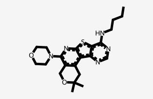 CCCCNc1ncnc2c1sc1nc(N3CCOCC3)c3c(c12)CC(C)(C)OC3